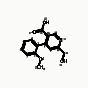 COc1ccccc1-c1cc(CO)ncc1C(=O)O